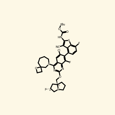 CC(C)(C)OC(=O)Nc1sc2c(F)ccc(-c3c(Cl)cc4c(N5CCCCC6(CCO6)C5)nc(OC[C@@]56CCCN5C[C@H](F)C6)nc4c3F)c2c1C#N